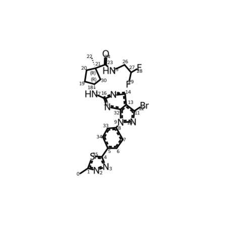 Cc1nnc(-c2ccc(-n3nc(Br)c4cnc(N[C@@H]5CC[C@@](C)(C(=O)NCC(F)F)C5)nc43)cc2)s1